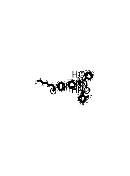 CCCCCCC(=O)N1CCN(c2ccc(-n3nc(-c4ccccc4O)nc3NC(=O)c3ccccc3C)cc2)CC1